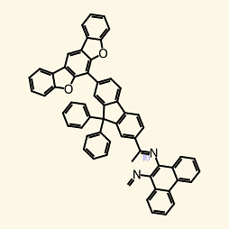 C=Nc1c(/N=C(\C)c2ccc3c(c2)C(c2ccccc2)(c2ccccc2)c2cc(-c4c5oc6ccccc6c5cc5c4oc4ccccc45)ccc2-3)c2ccccc2c2ccccc12